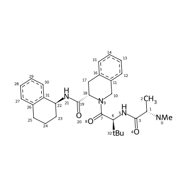 CN[C@@H](C)C(=O)N[C@H](C(=O)N1Cc2ccccc2C[C@H]1C(=O)N[C@H]1CCCc2ccccc21)C(C)(C)C